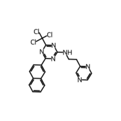 ClC(Cl)(Cl)c1nc(NCCc2cnccn2)nc(-c2ccc3ccccc3c2)n1